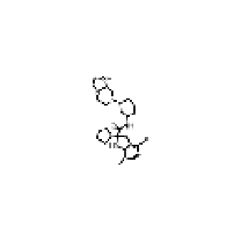 Cc1ccc(F)c2c1NC(C(=O)N[C@@H]1CCC[C@H](N3CCN4CCNC4C3)C1)(C1CCCC1)C2